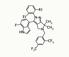 CCc1cccc(CC)c1-n1nc2c(c1-c1ccc(F)c3[nH]ccc13)CN(Cc1ccc(C(F)(F)F)cc1C(F)(F)F)C2(C)C